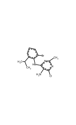 Cc1nc(Cl)c(N)c(Nc2c(Br)cccc2C(C)C)n1